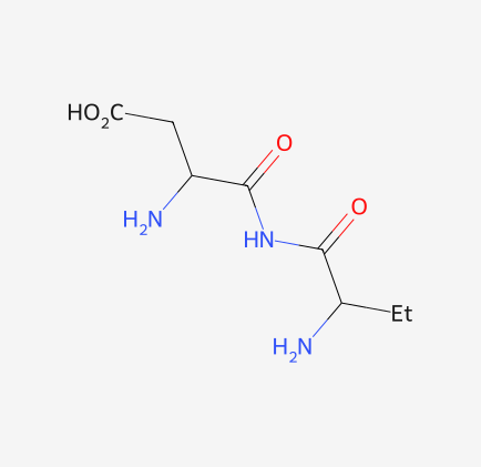 CCC(N)C(=O)NC(=O)C(N)CC(=O)O